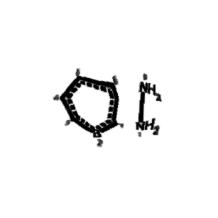 NN.b1ccccc1